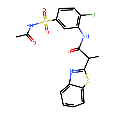 CC(=O)NS(=O)(=O)c1ccc(Cl)c(NC(=O)C(C)c2nc3ccccc3s2)c1